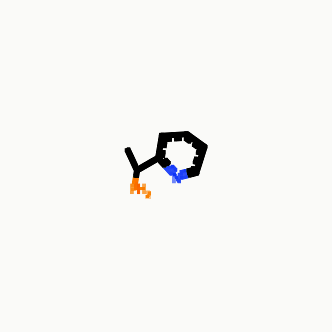 CC(P)c1ccccn1